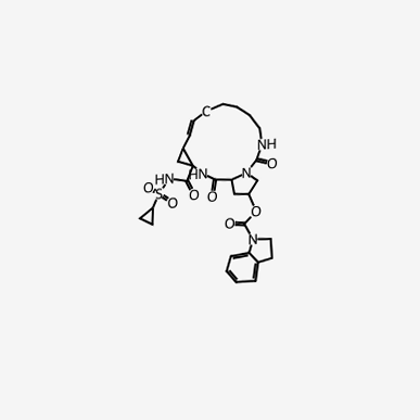 O=C1NC2(C(=O)NS(=O)(=O)C3CC3)CC2C=CCCCCCNC(=O)N2CC(OC(=O)N3CCc4ccccc43)CC12